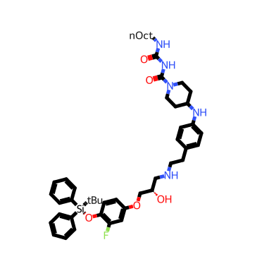 CCCCCCCCNC(=O)NC(=O)N1CCC(Nc2ccc(CCNC[C@H](O)COc3ccc(O[Si](c4ccccc4)(c4ccccc4)C(C)(C)C)c(F)c3)cc2)CC1